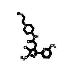 Cn1nc(-c2cccc(C(F)(F)F)n2)c(CC(=O)NC2CCN(CCC(C)(C)C)CC2)c1Cl